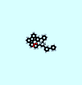 c1ccc(-c2cccc(-c3cc(-c4ccccc4)nc(-c4ccccc4-c4ccc5c(c4)Oc4ccccc4C54c5ccccc5-c5ccccc54)n3)c2)cc1